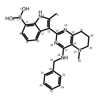 Cc1[nH]c2c(B(O)O)cccc2c1-c1nc2c(c(NCc3ccccc3)n1)N(C)CCC2